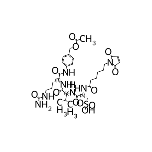 CC(=O)OCc1ccc(NC(=O)[C@@H](CCCNC(N)=O)NC(=O)[C@H](NC(=O)[C@@H](CS(=O)(=O)O)NC(=O)CCCCCN2C(=O)C=CC2=O)C(C)C)cc1